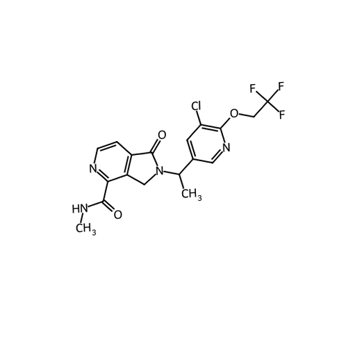 CNC(=O)c1nccc2c1CN(C(C)c1cnc(OCC(F)(F)F)c(Cl)c1)C2=O